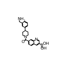 NCc1cccc(C2CCN(C(=O)c3ccc4cc(B(O)O)cnc4c3)CC2)c1